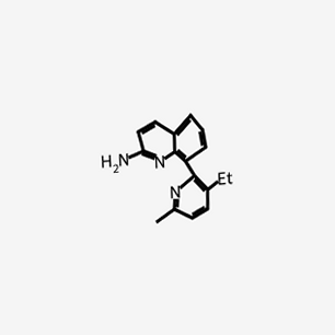 CCc1ccc(C)nc1-c1cccc2ccc(N)nc12